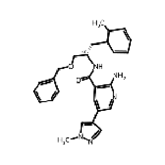 CC1C=CC=CC1C[C@@H](COCc1ccccc1)NC(=O)c1cc(-c2cnn(C)c2)cnc1N